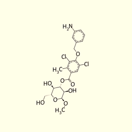 CO[C@H]1O[C@H](CO)[C@@H](O)[C@H](OC(=O)c2cc(Cl)c(OCc3cccc(N)c3)c(Cl)c2C)[C@H]1O